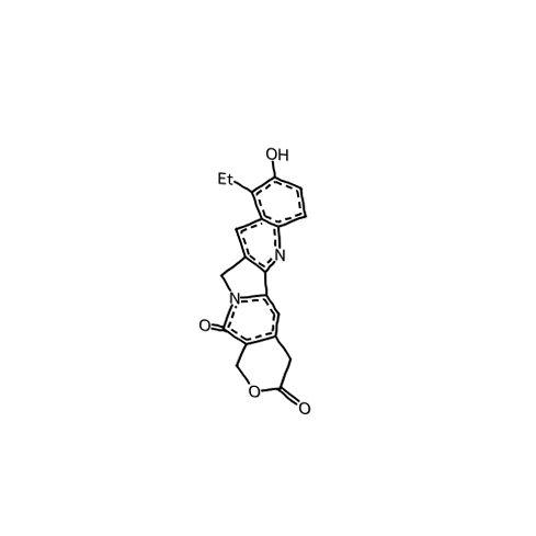 CCc1c(O)ccc2nc3c(cc12)Cn1c-3cc2c(c1=O)COC(=O)C2